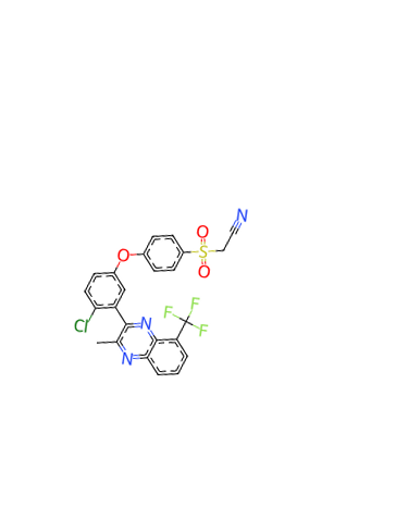 Cc1nc2cccc(C(F)(F)F)c2nc1-c1cc(Oc2ccc(S(=O)(=O)CC#N)cc2)ccc1Cl